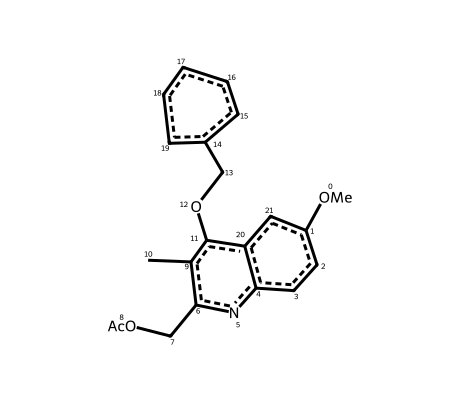 COc1ccc2nc(COC(C)=O)c(C)c(OCc3ccccc3)c2c1